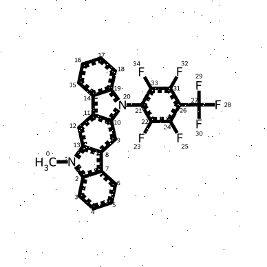 Cn1c2ccccc2c2cc3c(cc21)c1ccccc1n3-c1c(F)c(F)c(C(F)(F)F)c(F)c1F